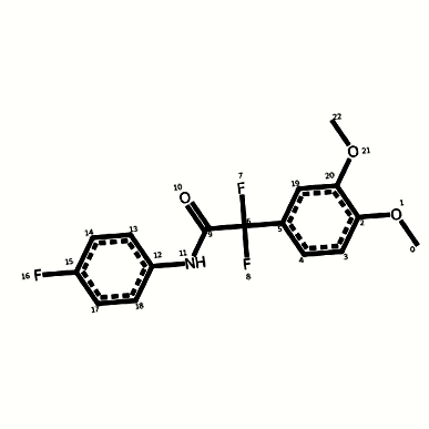 COc1ccc(C(F)(F)C(=O)Nc2ccc(F)cc2)cc1OC